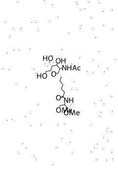 COCC(COC)NC(=O)CCCCC[C@@H]1OC(CO)[C@H](CO)C(O)C1NC(C)=O